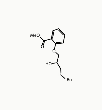 COC(=O)c1ccccc1OCC(O)CNC(C)(C)C